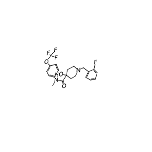 CN(C(=O)C1(O)CCN(Cc2ccccc2F)CC1)c1ccc(OC(F)(F)F)cc1